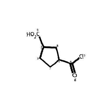 O=C(O)C1CCC(C(=O)Cl)C1